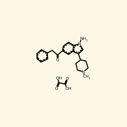 CN1CCC(c2cn(N)c3ccc(C(=O)Cc4ccccc4)cc23)CC1.O=C(O)C(=O)O